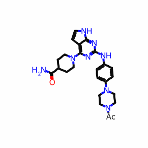 CC(=O)N1CCN(c2ccc(Nc3nc(N4CCC(C(N)=O)CC4)c4cc[nH]c4n3)cc2)CC1